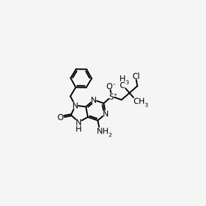 CC(C)(CCl)C[S+]([O-])c1nc(N)c2[nH]c(=O)n(Cc3ccccc3)c2n1